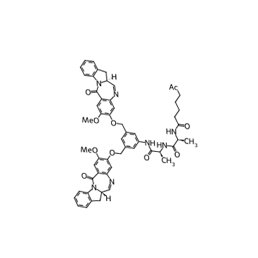 COc1cc2c(cc1OCc1cc(COc3cc4c(cc3OC)C(=O)N3c5ccccc5C[C@H]3C=N4)cc(NC(=O)[C@H](C)NC(=O)[C@H](C)NC(=O)CCCCC(C)=O)c1)N=C[C@@H]1Cc3ccccc3N1C2=O